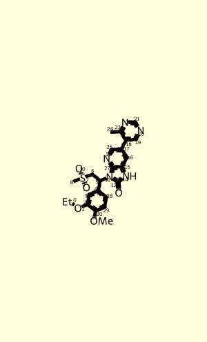 CCOc1cc(C(CS(C)(=O)=O)n2c(=O)[nH]c3cc(-c4cncnc4C)cnc32)ccc1OC